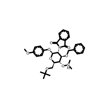 COc1ccc(O[C@@H]2O[C@H](COC(C)(C)C)[C@@H](O[SiH](C)C)[C@H](OCc3ccccc3)[C@H]2N2C(=O)c3ccccc3C2=O)cc1